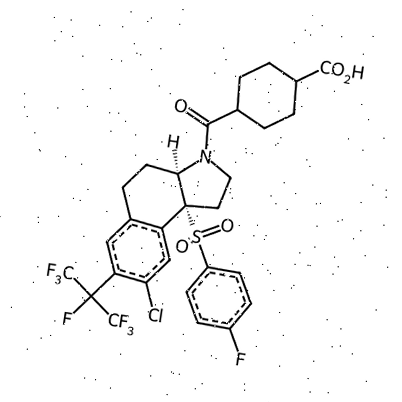 O=C(O)C1CCC(C(=O)N2CC[C@@]3(S(=O)(=O)c4ccc(F)cc4)c4cc(Cl)c(C(F)(C(F)(F)F)C(F)(F)F)cc4CC[C@@H]23)CC1